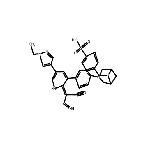 CCn1cc(C2=CN/C(=C(/C#N)C=N)C(c3ccc(N4CC5CC(C4)N5Cc4ccc(S(C)(=O)=O)cc4)nc3)=C2)cn1